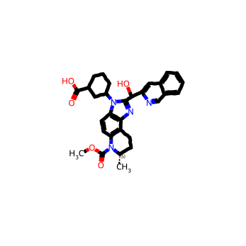 COC(=O)N1c2ccc3c(nc(C(O)c4cc5ccccc5cn4)n3C3CCCC(C(=O)O)C3)c2CC[C@@H]1C